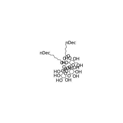 CCCCCCCCCCCCCCCCO[C@H](COC(=O)CCCCCCCCCCCCCCC)COP(=O)(O)O[C@@H]1C(O[C@@H]2OC(CO)[C@@H](O)[C@H](O)C2O)C(O)[C@@H](O)[C@H](O)C1O[C@H]1OC(CO)[C@@H](O)C(O)[C@H]1O